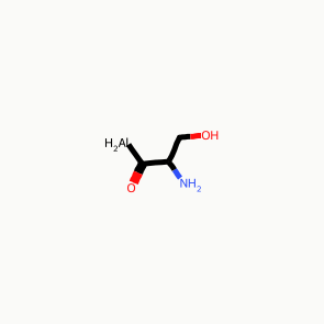 NC(CO)[C](=O)[AlH2]